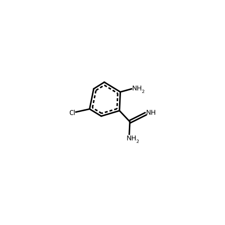 N=C(N)c1cc(Cl)ccc1N